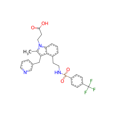 Cc1c(Cc2cccnc2)c2c(CCNS(=O)(=O)c3ccc(C(F)(F)F)cc3)cccc2n1CCC(=O)O